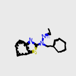 C/C=N/N(CC1CCCCC1)c1nc2ccccc2s1